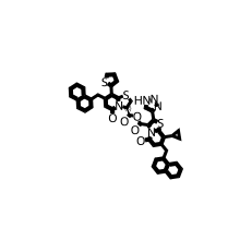 O=C(OC(=O)[C@@H]1CSc2c(-c3cccs3)c(Cc3cccc4ccccc34)cc(=O)n21)c1c(-c2c[nH]nn2)sc2c(C3CC3)c(Cc3cccc4ccccc34)cc(=O)n12